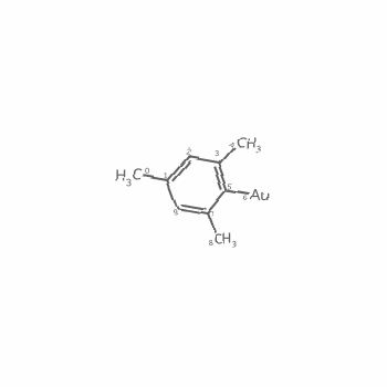 Cc1cc(C)[c]([Au])c(C)c1